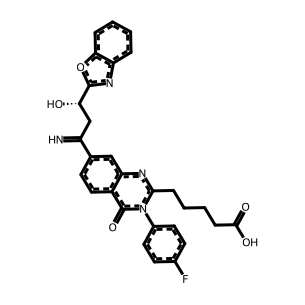 N=C(C[C@H](O)c1nc2ccccc2o1)c1ccc2c(=O)n(-c3ccc(F)cc3)c(CCCCC(=O)O)nc2c1